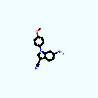 COc1ccc(-n2cc(C#N)c3ccc(N)cc32)cc1